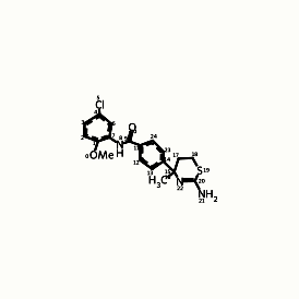 COc1ccc(Cl)cc1NC(=O)c1ccc(C2(C)CCSC(N)=N2)cc1